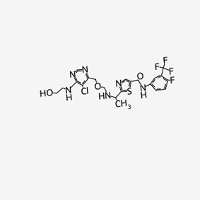 CC(NCOCc1ncnc(NCCO)c1Cl)c1ncc(C(=O)Nc2ccc(F)c(C(F)(F)F)c2)s1